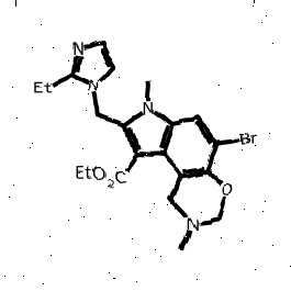 CCOC(=O)c1c(Cn2ccnc2CC)n(C)c2cc(Br)c3c(c12)CN(C)CO3